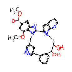 COC(=O)c1cc(OC)c2c(c1)nc1n2Cc2cncc(c2)-c2ccccc2C(O)C(O)CCn2c-1cc1cccnc12